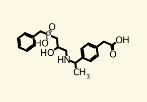 CC(NCC(O)CP(=O)(O)Cc1ccccc1)c1ccc(CC(=O)O)cc1